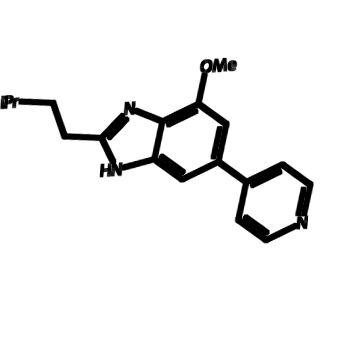 COc1cc(-c2ccncc2)cc2[nH]c(CCC(C)C)nc12